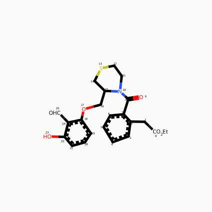 CCOC(=O)Cc1ccccc1C(=O)N1CCSCC1COc1cccc(O)c1C=O